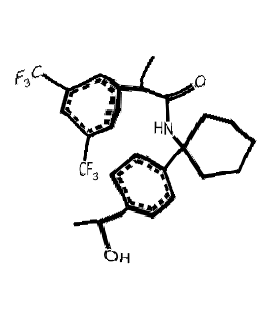 CC(O)c1ccc(C2(NC(=O)C(C)c3cc(C(F)(F)F)cc(C(F)(F)F)c3)CCCCC2)cc1